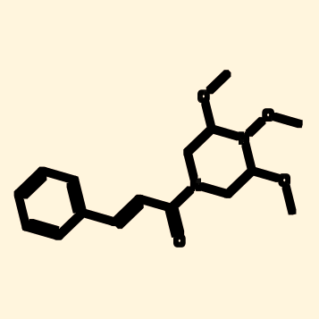 COC1CN(C(=O)C=Cc2ccccc2)CC(OC)N1OC